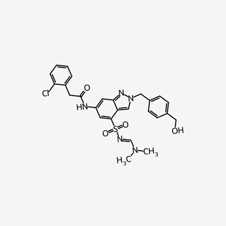 CN(C)/C=N/S(=O)(=O)c1cc(NC(=O)Cc2ccccc2Cl)cc2nn(Cc3ccc(CO)cc3)cc12